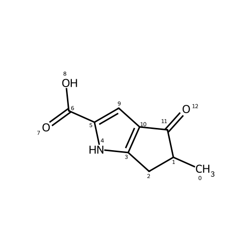 CC1Cc2[nH]c(C(=O)O)cc2C1=O